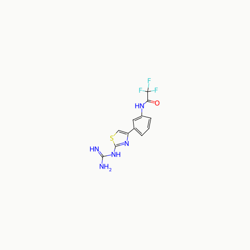 N=C(N)Nc1nc(-c2cccc(NC(=O)C(F)(F)F)c2)cs1